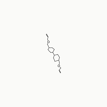 C=CCOCC1CCC(C2CCC(COCC=C)CC2)CC1